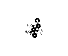 CC(C)c1cc(C(C)C)c(-c2cccc(N3CCCCC3)c2)c(C(C)C)c1-c1ccccc1